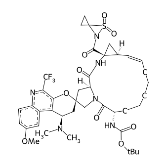 COc1ccc2nc(C(F)(F)F)c3c(c2c1)[C@H](N(C)C)C[C@]1(C[C@H]2C(=O)N[C@]4(C(=O)N5C6(CC6)S5(=O)=O)C[C@H]4/C=C\CCCCC[C@H](NC(=O)OC(C)(C)C)C(=O)N2C1)O3